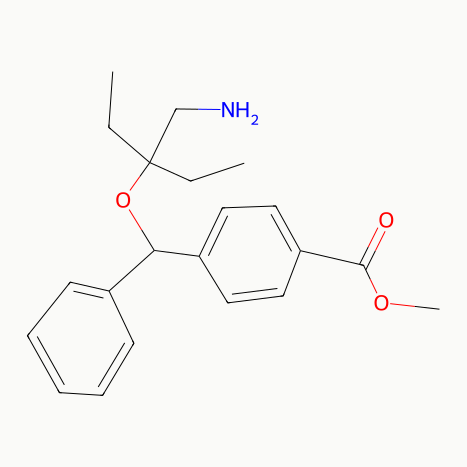 CCC(CC)(CN)OC(c1ccccc1)c1ccc(C(=O)OC)cc1